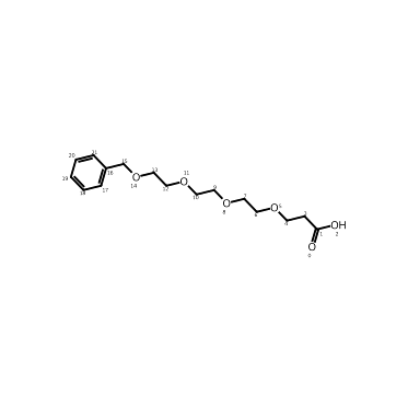 O=C(O)CCOCCOCCOCCOCc1ccccc1